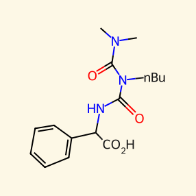 CCCCN(C(=O)NC(C(=O)O)c1ccccc1)C(=O)N(C)C